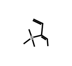 C=CC(=CC)[Si](C)(C)C